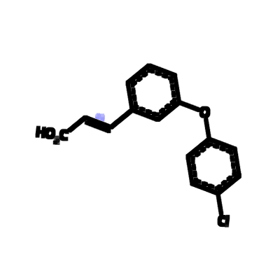 O=C(O)/C=C/c1cccc(Oc2ccc(Cl)cc2)c1